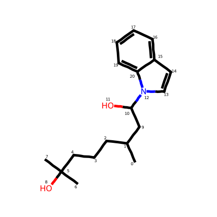 CC(CCCC(C)(C)O)CC(O)n1ccc2ccccc21